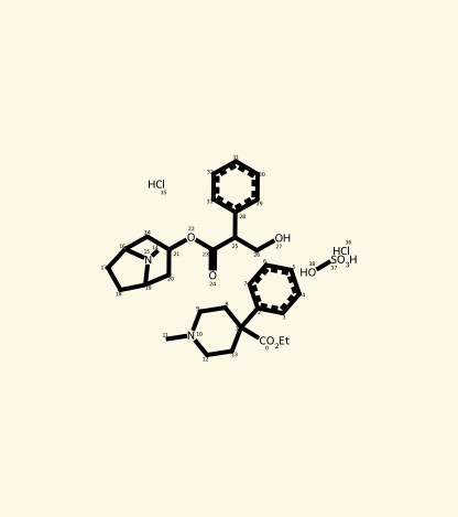 CCOC(=O)C1(c2ccccc2)CCN(C)CC1.CN1C2CCC1CC(OC(=O)C(CO)c1ccccc1)C2.Cl.Cl.O=S(=O)(O)O